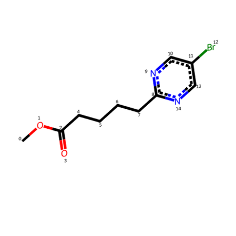 COC(=O)CCCCc1ncc(Br)cn1